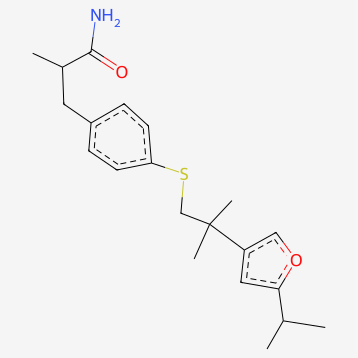 CC(Cc1ccc(SCC(C)(C)c2coc(C(C)C)c2)cc1)C(N)=O